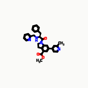 COC(=O)c1cc(-c2ccnc(C)c2)cc2c1CCN2C(=O)[C@H](Cc1ccccc1)NCc1ccccn1